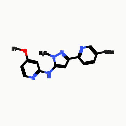 COc1ccc(-c2cc(Nc3cc(OC(C)C)ccn3)n(C)n2)nc1